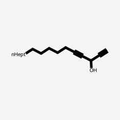 C#CC(O)C#CCCCCCCCCCCCC